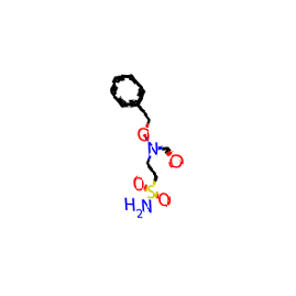 NS(=O)(=O)CCN(C=O)OCc1ccccc1